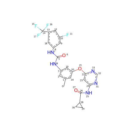 Cc1cc(NC(=O)Nc2cc(F)cc(C(F)(F)F)c2)cc(Oc2cc(NC(=O)C3CC3)ncn2)c1